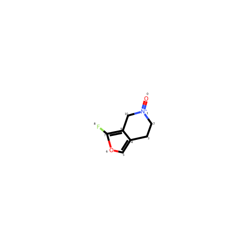 O=[N+]1CCc2coc(F)c2C1